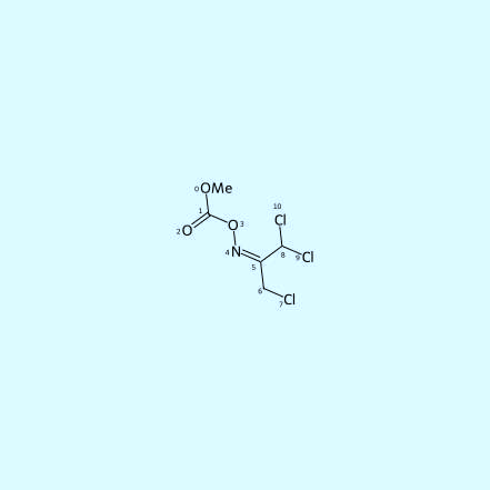 COC(=O)ON=C(CCl)C(Cl)Cl